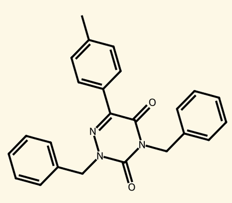 Cc1ccc(-c2nn(Cc3ccccc3)c(=O)n(Cc3ccccc3)c2=O)cc1